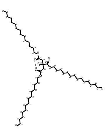 CCCCCCCCCCCCCCCOC(=O)CC(O)(CC(=O)OCCCCCCCCCCCCCCC)C(=O)OCCCCCCCCCCCCCCC